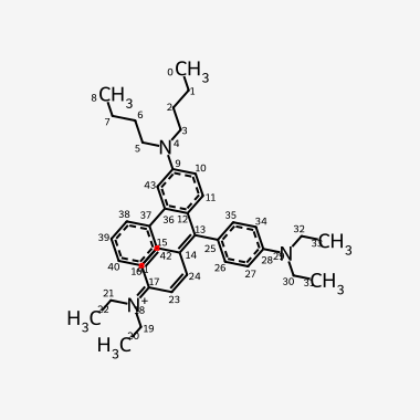 CCCCN(CCCC)c1ccc(C(=C2C=CC(=[N+](CC)CC)C=C2)c2ccc(N(CC)CC)cc2)c(-c2ccccc2)c1